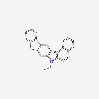 CCn1c2cc3c(cc2c2c4ccccc4ccc21)-c1ccccc1C3